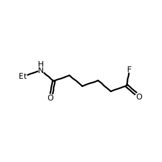 CCNC(=O)CCCCC(=O)F